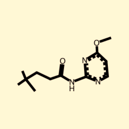 COc1ccnc(NC(=O)CCC(C)(C)C)n1